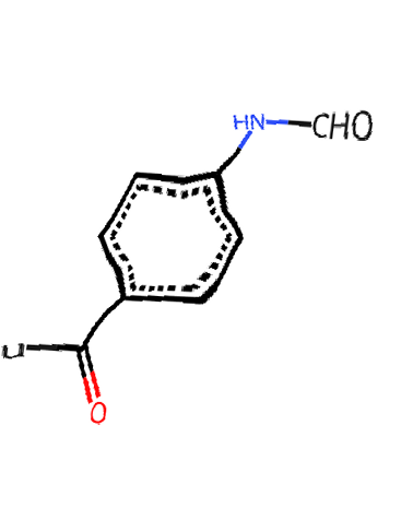 CC(C)(C)C(=O)c1ccc(NC=O)cc1